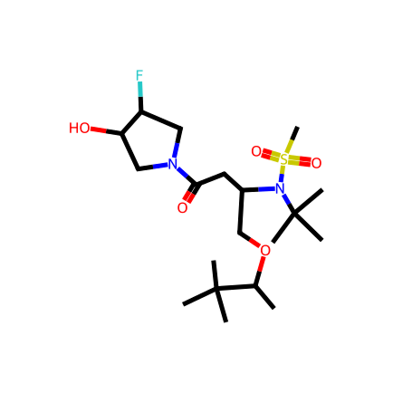 CC(OCC(CC(=O)N1CC(O)C(F)C1)N(C(C)(C)C)S(C)(=O)=O)C(C)(C)C